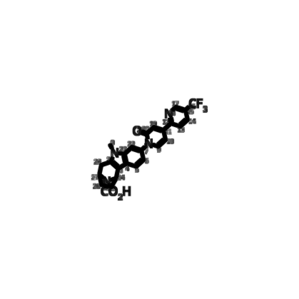 Cn1c2c(c3ccc(-n4ccc(-c5ccc(C(F)(F)F)cn5)cc4=O)cc31)C1CCC(C2)N1C(=O)O